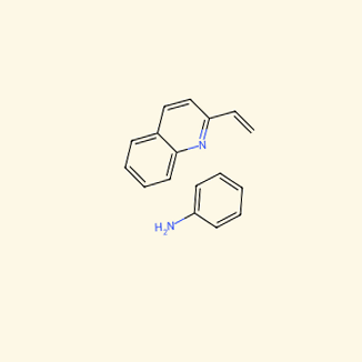 C=Cc1ccc2ccccc2n1.Nc1ccccc1